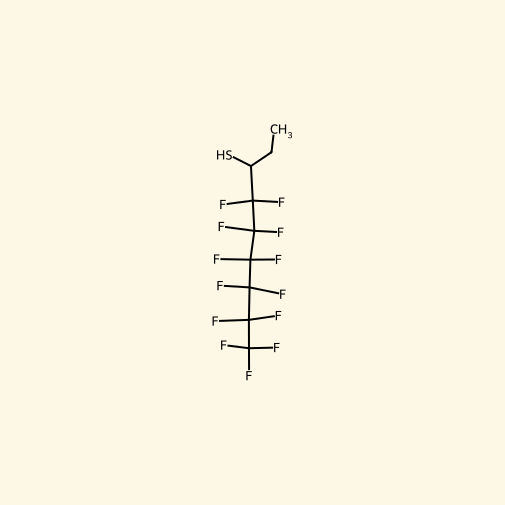 CCC(S)C(F)(F)C(F)(F)C(F)(F)C(F)(F)C(F)(F)C(F)(F)F